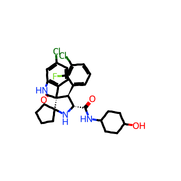 O=C(NC1CCC(O)CC1)[C@@H]1NC2(CCCC2)[C@@]2(C(=O)Nc3cc(Cl)ccc32)[C@H]1c1cccc(Cl)c1F